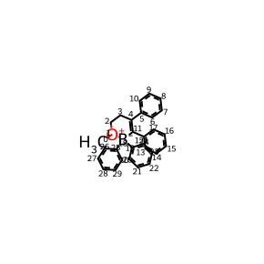 C[O+]1CCC(c2ccccc2)=C(c2ccccc2)[B-]1(c1ccccc1)c1ccccc1